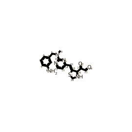 CN(Cc1cccc(N)c1)c1nccc(/C=C2\SCNC2C(=O)C=O)n1